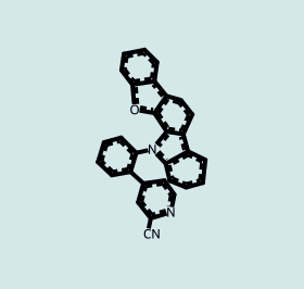 N#Cc1cc(-c2ccccc2-n2c3ccccc3c3ccc4c5ccccc5oc4c32)ccn1